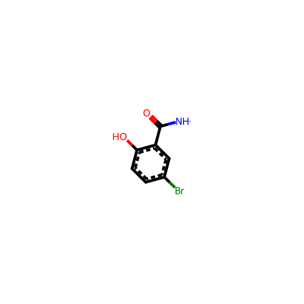 [NH]C(=O)c1cc(Br)ccc1O